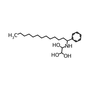 CCCCCCCCCCCCC(NC(O)C(O)O)c1ccccc1